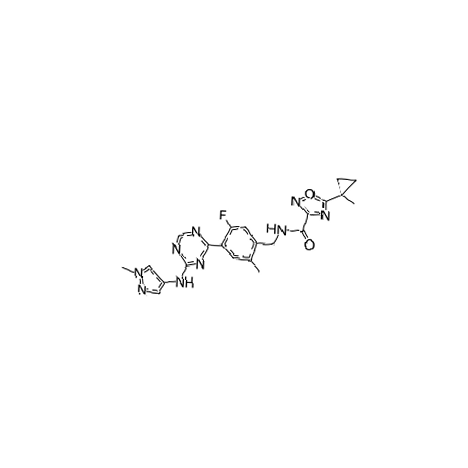 Cc1cc(-c2ncnc(Nc3cnn(C)c3)n2)c(F)cc1CNC(=O)c1noc(C2(C)CC2)n1